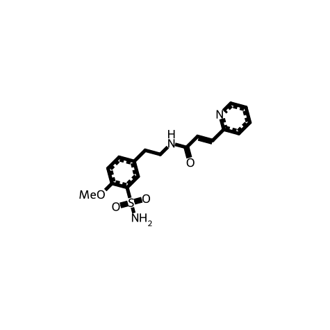 COc1ccc(CCNC(=O)/C=C/c2ccccn2)cc1S(N)(=O)=O